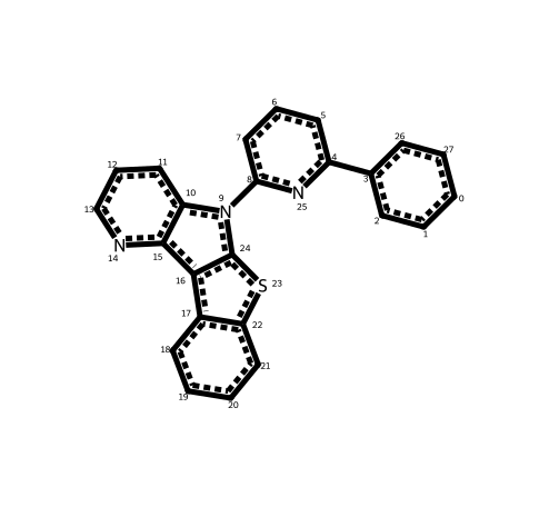 c1ccc(-c2cccc(-n3c4cccnc4c4c5ccccc5sc43)n2)cc1